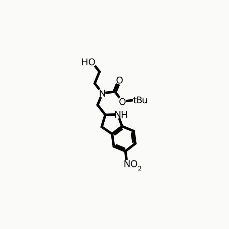 CC(C)(C)OC(=O)N(CCO)CC1Cc2cc([N+](=O)[O-])ccc2N1